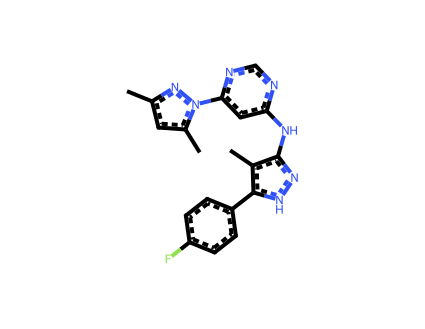 Cc1cc(C)n(-c2cc(Nc3n[nH]c(-c4ccc(F)cc4)c3C)ncn2)n1